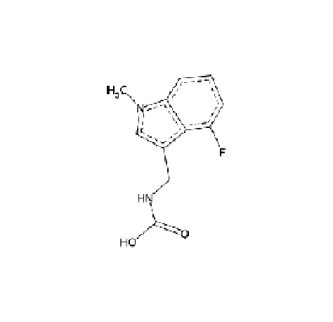 Cn1cc(CNC(=O)O)c2c(F)cccc21